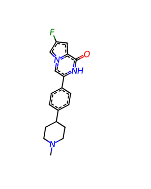 CN1CCC(c2ccc(-c3cn4cc(F)cc4c(=O)[nH]3)cc2)CC1